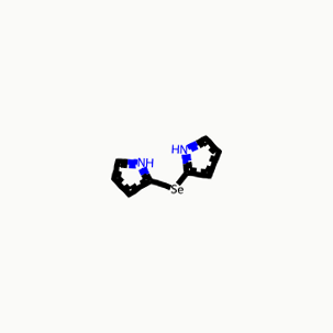 c1c[nH]c([Se]c2ccc[nH]2)c1